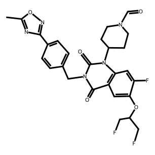 Cc1nc(-c2ccc(Cn3c(=O)c4cc(OC(CF)CF)c(F)cc4n(C4CCN(C=O)CC4)c3=O)cc2)no1